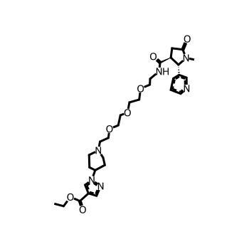 CCOC(=O)c1cnn(C2CCN(CCOCCOCCOCCNC(=O)[C@H]3CC(=O)N(C)[C@@H]3c3cccnc3)CC2)c1